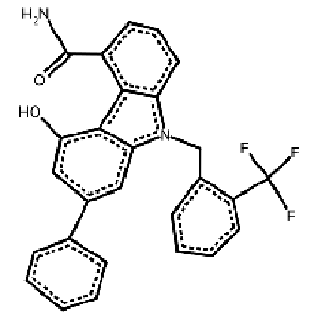 NC(=O)c1cccc2c1c1c(O)cc(-c3ccccc3)cc1n2Cc1ccccc1C(F)(F)F